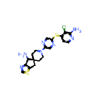 Nc1nccc(Sc2cnc(N3CCC4(CC3)Cc3scnc3C4N)cn2)c1Cl